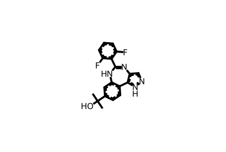 CC(C)(O)c1ccc2c(c1)NC(c1c(F)cccc1F)=Nc1cn[nH]c1-2